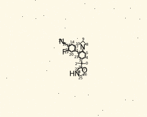 CC(C)(c1ccc(N2CCC2)c(-c2ccc(C#N)c(F)c2)c1)C1CNCCO1